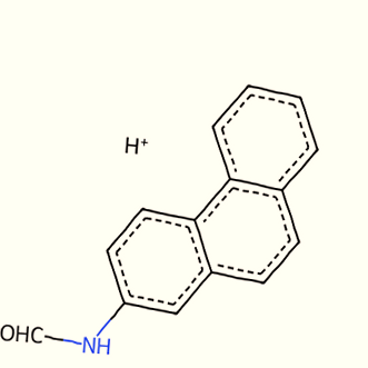 O=CNc1ccc2c(ccc3ccccc32)c1.[H+]